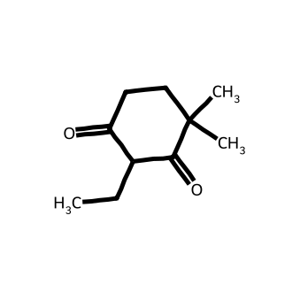 CCC1C(=O)CCC(C)(C)C1=O